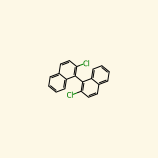 Clc1ccc2ccccc2c1-c1c(Cl)ccc2ccccc12